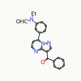 CCN(C=O)c1cccc(-c2ccnc3c(C(=O)c4ccccc4)cnn23)c1